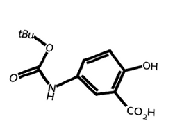 CC(C)(C)OC(=O)Nc1ccc(O)c(C(=O)O)c1